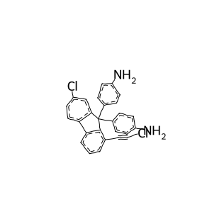 Nc1ccc(C2(c3ccc(N)cc3)c3cc(Cl)ccc3-c3cccc(C#CCl)c32)cc1